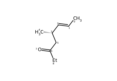 C/C=C/[C@@H](C)CC(=O)CC